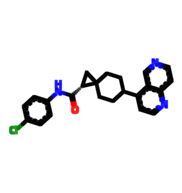 O=C(Nc1ccc(Cl)cc1)[C@@H]1CC12CCC(c1ccnc3ccncc13)CC2